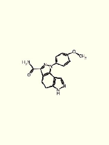 COc1ccc(-n2nc(C(N)=O)c3c2-c2cn[nH]c2CC3)cc1